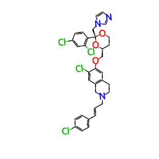 Clc1ccc(/C=C/CN2CCc3cc(OC[C@@H]4CCO[C@@](Cn5ccnc5)(c5ccc(Cl)cc5Cl)O4)c(Cl)cc3C2)cc1